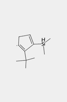 C[SiH](C)C1=CC[C]=C1C(C)(C)C